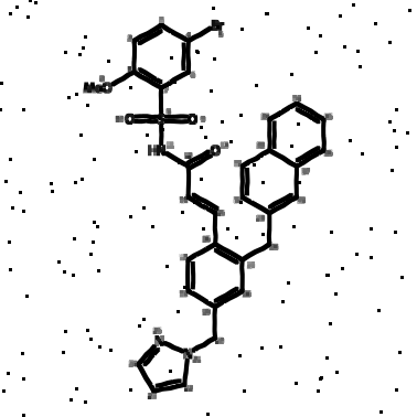 COc1ccc(Br)cc1S(=O)(=O)NC(=O)C=Cc1ccc(Cn2cccn2)cc1Cc1ccc2ccccc2c1